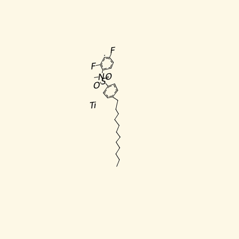 CCCCCCCCCCCCc1ccc(S(=O)(=O)N(C)c2ccc(F)[c]c2F)cc1.[Ti]